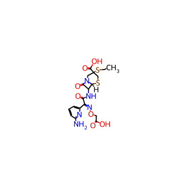 CCSC1(C(=O)O)CS[C@@H]2C(NC(=O)C(=NOCC(=O)O)c3cccc(N)n3)C(=O)N2C1